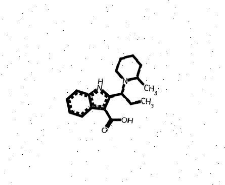 CCC(c1[nH]c2ccccc2c1C(=O)O)N1CCCCC1C